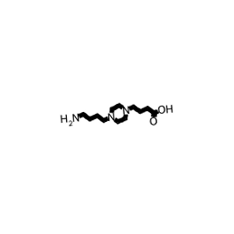 NCCCCN1CCN(CCCC(=O)O)CC1